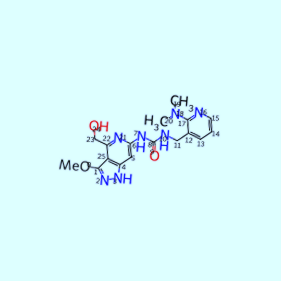 COc1n[nH]c2cc(NC(=O)NCc3cccnc3N(C)C)nc(CO)c12